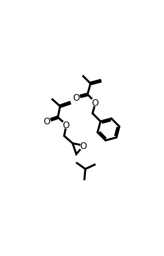 C=C(C)C(=O)OCC1CO1.C=C(C)C(=O)OCc1ccccc1.CC(C)C